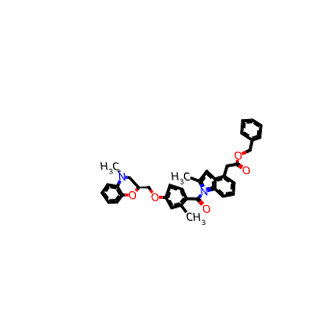 Cc1cc(OC[C@@H]2CN(C)c3ccccc3O2)ccc1C(=O)n1c(C)cc2c(CC(=O)OCc3ccccc3)cccc21